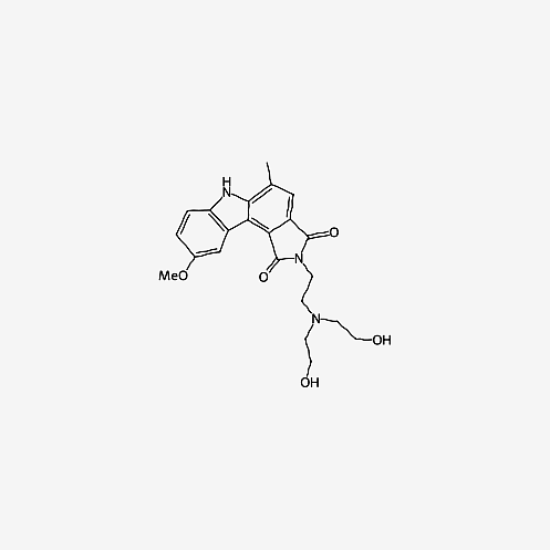 COc1ccc2[nH]c3c(C)cc4c(c3c2c1)C(=O)N(CCN(CCO)CCO)C4=O